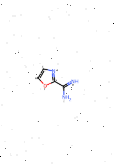 N=C(N)c1ncco1